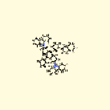 C1=Cc2c(c3ccccc3n2-c2ccc3c(-c4ccccc4)c4cc(-n5c6ccccc6c6ccccc65)ccc4c(-c4cccc(-c5ccc6ccccc6c5)c4)c3c2)CC1